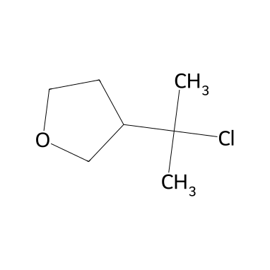 CC(C)(Cl)C1CCOC1